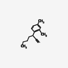 [C]#CC(CCCC)c1ccc(C)cc1C